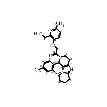 CCc1nc(C)ccc1OCC(=O)N1CCc2nc3n(c2C1c1ccc(Cl)cc1F)CCCC3